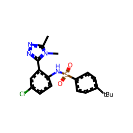 Cc1nnc(-c2cc(Cl)ccc2NS(=O)(=O)c2ccc(C(C)(C)C)cc2)n1C